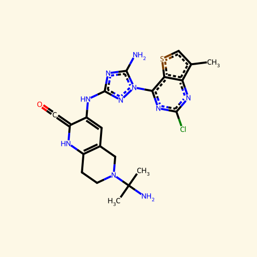 Cc1csc2c(-n3nc(NC4=CC5=C(CCN(C(C)(C)N)C5)NC4=C=O)nc3N)nc(Cl)nc12